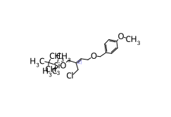 COc1ccc(COC/C=C(\CCl)CO[Si](C)(C)C(C)(C)C)cc1